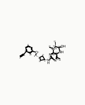 C#Cc1cccc(OC[C@H]2C[C@@H](Nc3nc(C)c4c(n3)N(C)[C@@H](C)C(O)N4)C2)c1